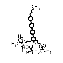 C=C(C)C(=O)OCCCc1cc(-c2ccc(C3C=CC(C4CCC(CCCCC)CC4)=CC3)cc2)cc(CCCOC(=O)C(=C)C)c1OCCC(C)(CO)CO